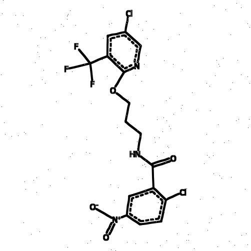 O=C(NCCCOc1ncc(Cl)cc1C(F)(F)F)c1cc([N+](=O)[O-])ccc1Cl